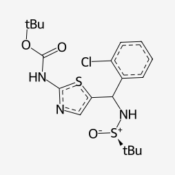 CC(C)(C)OC(=O)Nc1ncc(C(N[S@+]([O-])C(C)(C)C)c2ccccc2Cl)s1